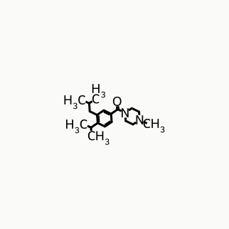 CC(C)Cc1cc(C(=O)N2CCN(C)CC2)ccc1C(C)C